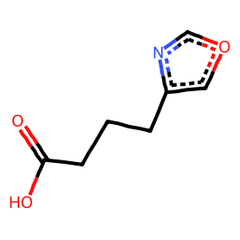 O=C(O)CCCc1cocn1